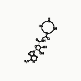 Nc1ncnc2c1ncn2[C@@H]1O[C@H](C(=O)NCC(=O)N2CCNCCNCCNCC2)[C@@H](O)[C@H]1O